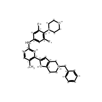 Cc1cnc(Nc2cc(F)c(N3CCOCC3)c(F)c2)nc1-c1cc2c(o1)CCN(Cc1ccccc1)C2